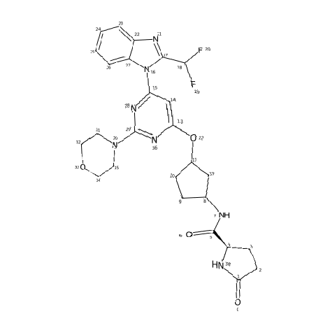 O=C1CC[C@H](C(=O)NC2CCC(Oc3cc(-n4c(C(F)F)nc5ccccc54)nc(N4CCOCC4)n3)C2)N1